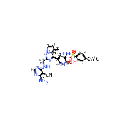 COc1ccc(S(=O)(=O)Nc2cc(-c3nc([C@H](C)Nc4ncnc(N)c4C#N)nn4ccc(C)c34)cnc2O)cc1